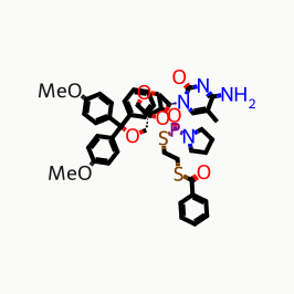 COc1ccc(C(OC[C@]23COC(C2OP(SCCSC(=O)c2ccccc2)N2CCCC2)[C@H](n2cc(C)c(N)nc2=O)O3)(c2ccccc2)c2ccc(OC)cc2)cc1